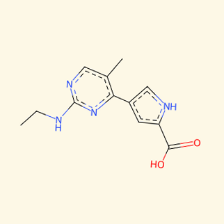 CCNc1ncc(C)c(-c2c[nH]c(C(=O)O)c2)n1